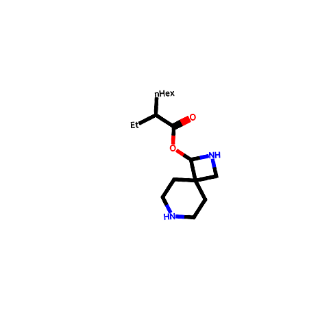 CCCCCCC(CC)C(=O)OC1NCC12CCNCC2